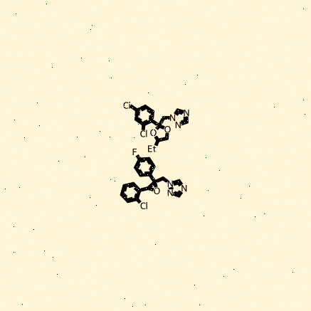 CCC1COC(Cn2cncn2)(c2ccc(Cl)cc2Cl)O1.Fc1ccc(C2(Cn3cncn3)OC2c2ccccc2Cl)cc1